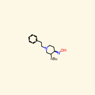 CCCCC1CN(CCc2ccccc2)CCC1=NO